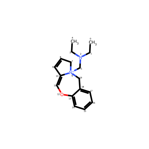 CCN(CC)C[N+]12CC=CC1=COc1ccccc1C2